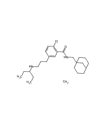 CCC(CC)NCCCc1ccc(Cl)c(C(=O)NCC23CCCC(CCC2)C3)c1.[CH2]